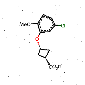 COc1ccc(Cl)cc1O[C@H]1C[C@H](C(=O)O)C1